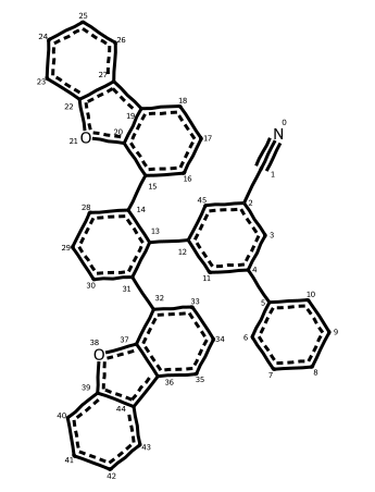 N#Cc1cc(-c2ccccc2)cc(-c2c(-c3cccc4c3oc3ccccc34)cccc2-c2cccc3c2oc2ccccc23)c1